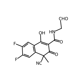 CC1(C#N)C(=O)C(C(=O)NCC=O)=C(O)c2cc(F)c(F)cc21